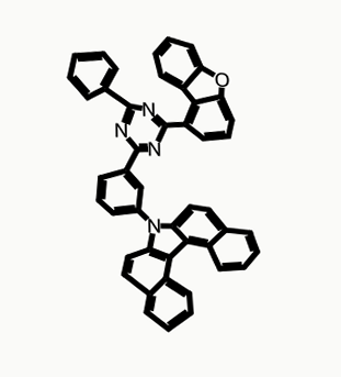 c1ccc(-c2nc(-c3cccc(-n4c5ccc6ccccc6c5c5c6ccccc6ccc54)c3)nc(-c3cccc4oc5ccccc5c34)n2)cc1